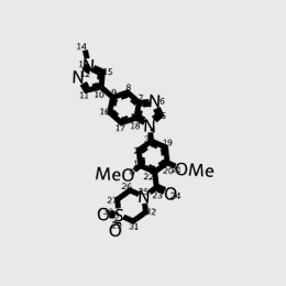 COc1cc(-n2cnc3cc(-c4cnn(C)c4)ccc32)cc(OC)c1C(=O)N1CCS(=O)(=O)CC1